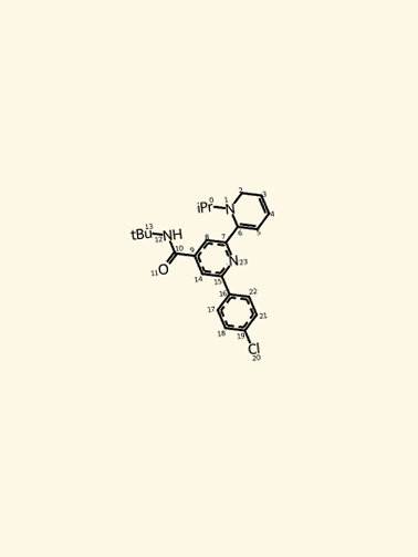 CC(C)N1CC=CC=C1c1cc(C(=O)NC(C)(C)C)cc(-c2ccc(Cl)cc2)n1